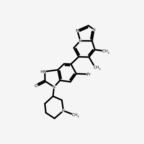 Cc1c(-c2cc3[nH]c(=O)n(C4CCCN(C)C4)c3cc2C(C)C)cn2ncnc2c1C